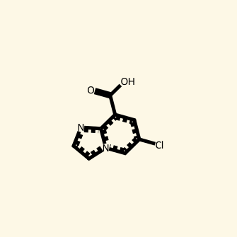 O=C(O)c1cc(Cl)cn2ccnc12